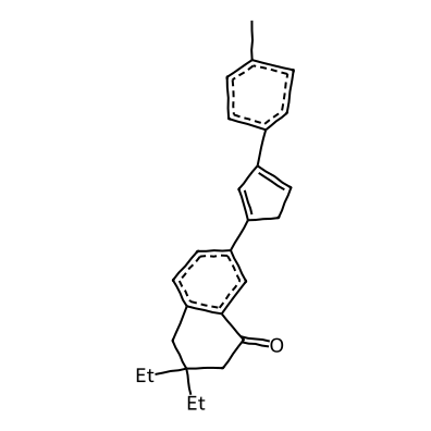 CCC1(CC)CC(=O)c2cc(C3=CC(c4ccc(C)cc4)=CC3)ccc2C1